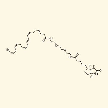 CC/C=C\C/C=C\C/C=C\C/C=C/C=C\C/C=C\CCC(=O)NCCOCCOCCNC(=O)CCCC[C@@H]1SC[C@@H]2NC(=O)N[C@@H]21